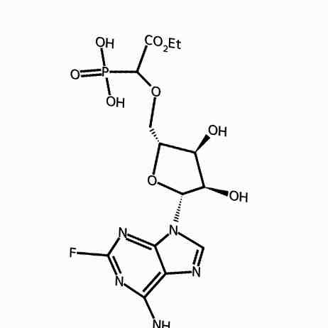 CCOC(=O)C(OC[C@H]1O[C@@H](n2cnc3c(N)nc(F)nc32)[C@H](O)[C@@H]1O)P(=O)(O)O